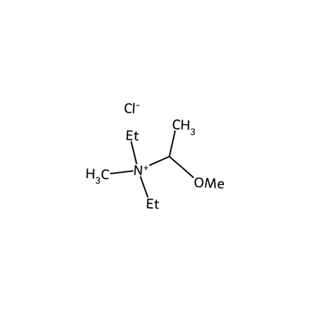 CC[N+](C)(CC)C(C)OC.[Cl-]